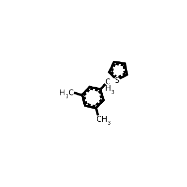 Cc1cc(C)cc(C)c1.c1ccsc1